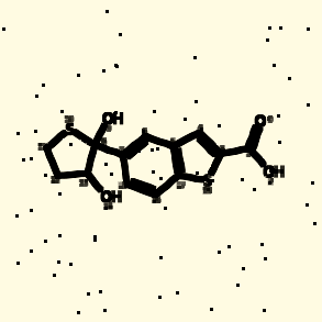 O=C(O)c1cc2cc(C3(O)SCCC3O)ccc2s1